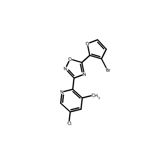 Cc1cc(Cl)cnc1-c1noc(-c2occc2Br)n1